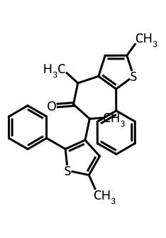 Cc1cc(C(C)C(=O)C(C)c2cc(C)sc2-c2ccccc2)c(-c2ccccc2)s1